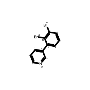 Brc1cccc(-c2c[c]cnc2)c1Br